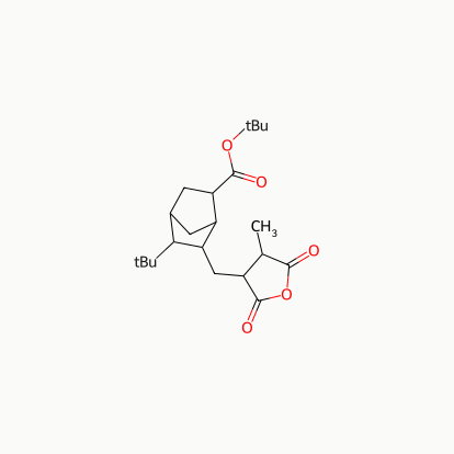 CC1C(=O)OC(=O)C1CC1C2CC(CC2C(=O)OC(C)(C)C)C1C(C)(C)C